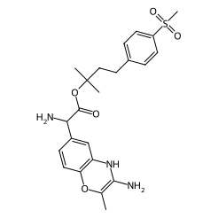 CC1=C(N)Nc2cc(C(N)C(=O)OC(C)(C)CCc3ccc(S(C)(=O)=O)cc3)ccc2O1